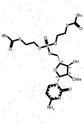 CO[C@@H]1[C@H](O)[C@@H](COP(=O)(OCCSC(=O)C(C)(C)C)OCCSC(=O)C(C)(C)C)O[C@H]1n1ccc(N)nc1=O